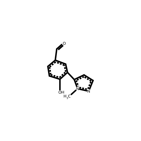 Cn1nccc1-c1cc(C=O)ccc1O